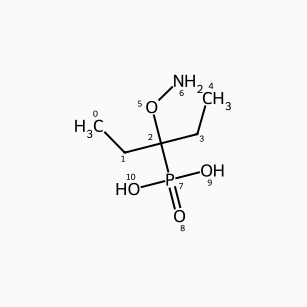 CCC(CC)(ON)P(=O)(O)O